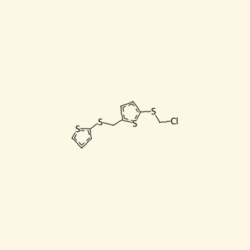 ClCSc1ccc(CSc2cccs2)s1